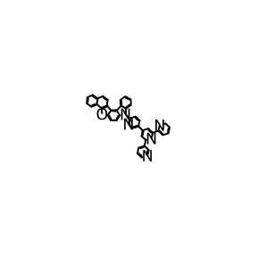 c1ccc(-c2cc(-c3ccc(-n4c5ccccc5c5c6c(ccc54)oc4c5ccccc5ccc46)nc3)cc(-c3cccnc3)n2)nc1